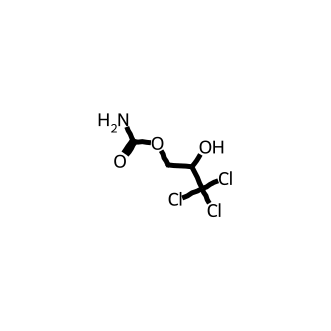 NC(=O)OCC(O)C(Cl)(Cl)Cl